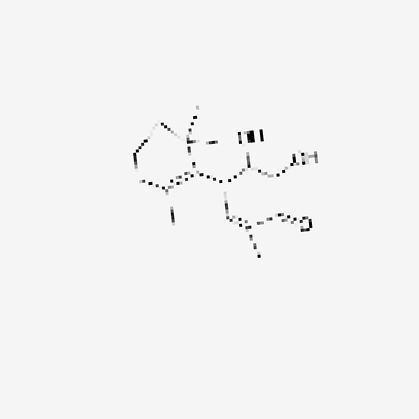 CC(C=O)=CC(C1=C(C)CCCC1(C)C)C(O)CO